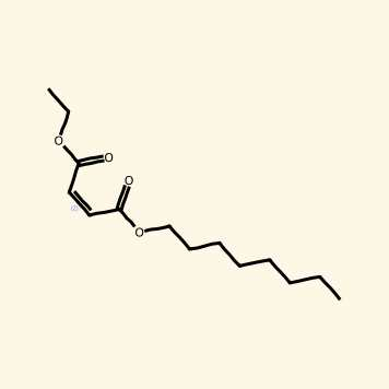 CCCCCCCCOC(=O)/C=C\C(=O)OCC